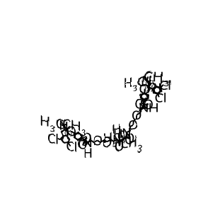 CN(C)C1CC2=C(Cl)CC(Cl)C=C2[C@@H]1Oc1ccc(S(=O)(=O)NCCOCCOCCNC(=O)C(C)(C)C(=O)NCCOCCOCCNS(=O)(=O)c2ccc(O[C@H]3c4cc(Cl)cc(Cl)c4C[C@@H]3N(C)C)cc2)cc1